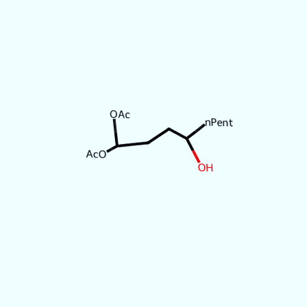 CCCCCC(O)CCC(OC(C)=O)OC(C)=O